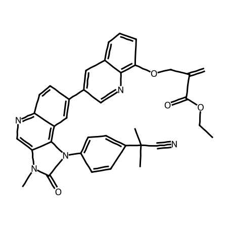 C=C(COc1cccc2cc(-c3ccc4ncc5c(c4c3)n(-c3ccc(C(C)(C)C#N)cc3)c(=O)n5C)cnc12)C(=O)OCC